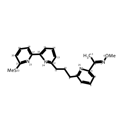 CO/N=C(\C)c1cccc(CCCc2cccc(-c3cccc(SC)n3)n2)n1